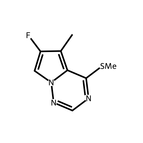 CSc1ncnn2cc(F)c(C)c12